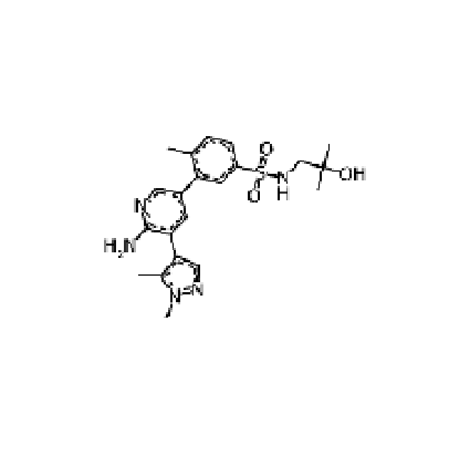 Cc1ccc(S(=O)(=O)NCC(C)(C)O)cc1-c1cnc(N)c(-c2cnn(C)c2C)c1